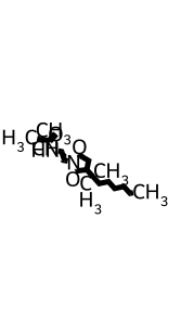 CCCCCCC(C)(C)C1CC(=O)N(CCNC(=O)C(C)(C)C)C1=O